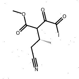 COC(=O)C(C(=O)C(=O)I)[C@H](C)CC#N